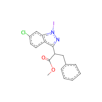 COC(=O)C(Cc1ccccc1)c1nn(I)c2cc(Cl)ccc12